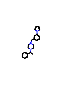 CC(c1ccccc1)N1CCN(Cc2cccc(-n3cccc3)c2)CC1